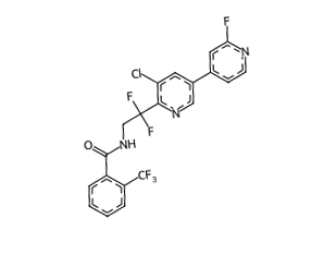 O=C(NCC(F)(F)c1ncc(-c2ccnc(F)c2)cc1Cl)c1ccccc1C(F)(F)F